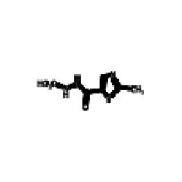 Cc1ncc(C(=O)NNC(=O)O)s1